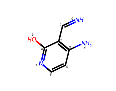 N=Cc1c(N)ccnc1O